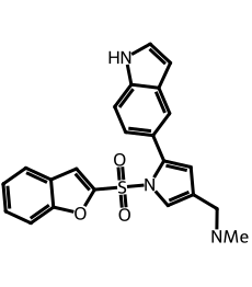 CNCc1cc(-c2ccc3[nH]ccc3c2)n(S(=O)(=O)c2cc3ccccc3o2)c1